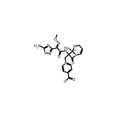 CON=C(C(=O)NC1(C[n+]2ccc(C(=O)[O-])cc2)C(=O)N2C=CCS[C@H]21)c1nsc(N)n1